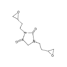 O=C1CN(CCC2CO2)C(=O)N1CCC1CO1